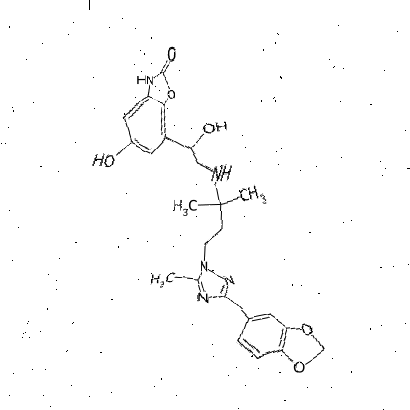 Cc1nc(-c2ccc3c(c2)OCO3)nn1CCC(C)(C)NCC(O)c1cc(O)cc2[nH]c(=O)oc12